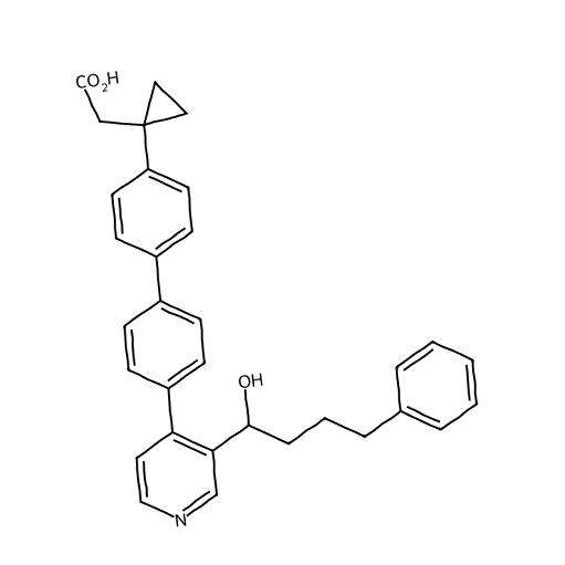 O=C(O)CC1(c2ccc(-c3ccc(-c4ccncc4C(O)CCCc4ccccc4)cc3)cc2)CC1